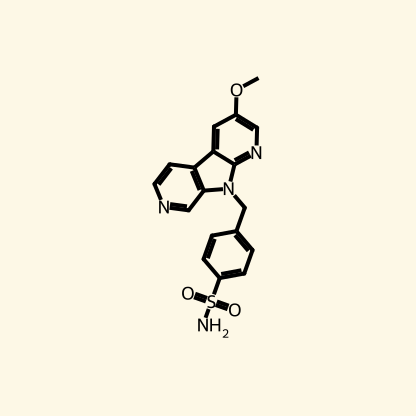 COc1cnc2c(c1)c1ccncc1n2Cc1ccc(S(N)(=O)=O)cc1